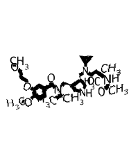 COCCCOc1cc(C(=O)N(C[C@@H]2CNC[C@H]2CN(C(=O)CC(C)(C)NC(C)=O)C2CC2)C(C)C)ccc1OC